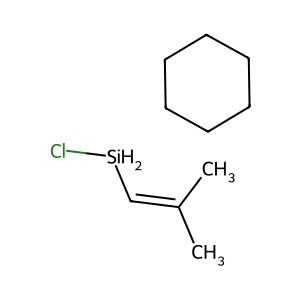 C1CCCCC1.CC(C)=C[SiH2]Cl